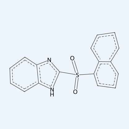 O=S(=O)(c1nc2ccccc2[nH]1)c1cccc2ccccc12